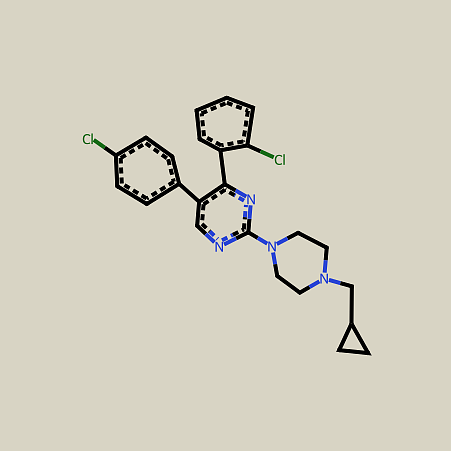 Clc1ccc(-c2cnc(N3CCN(CC4CC4)CC3)nc2-c2ccccc2Cl)cc1